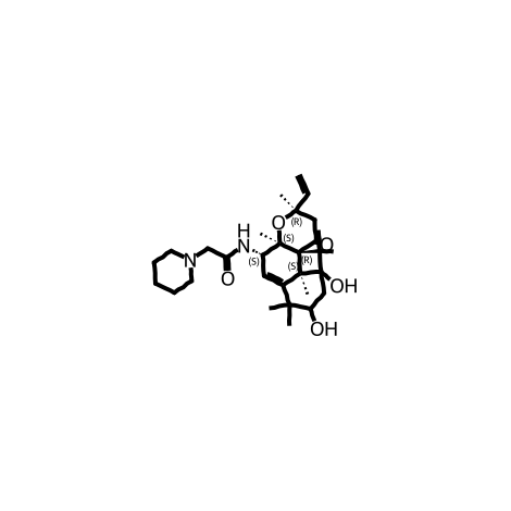 C=C[C@@]1(C)CC(=O)[C@@]23C(C)(C)C4(O)CC(O)C(C)(C)C(=C[C@H](NC(=O)CN5CCCCC5)[C@@]2(C)O1)[C@]43C